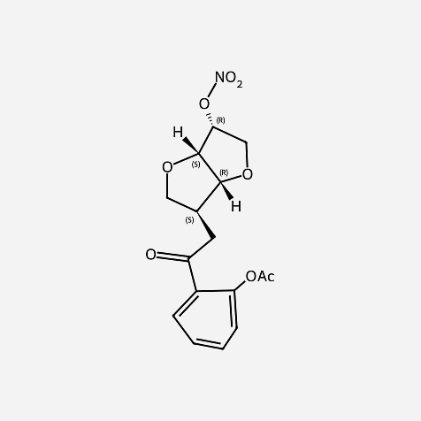 CC(=O)Oc1ccccc1C(=O)C[C@H]1CO[C@H]2[C@@H]1OC[C@H]2O[N+](=O)[O-]